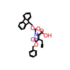 C#CCC(C(=O)OCc1ccccc1)[C@@H](NC(=O)OCC1c2ccccc2-c2ccccc21)C(=O)O